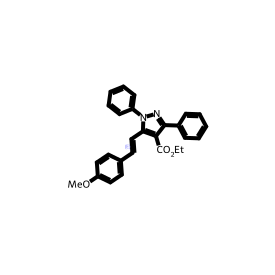 CCOC(=O)c1c(-c2ccccc2)nn(-c2ccccc2)c1/C=C/c1ccc(OC)cc1